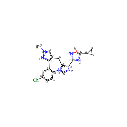 CC(C)n1cc2c(n1)-c1cc(Cl)ccc1-n1cnc(-c3noc(C4CC4)n3)c1C2